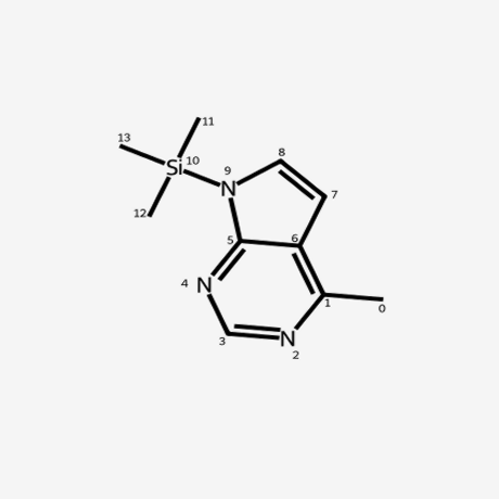 Cc1ncnc2c1ccn2[Si](C)(C)C